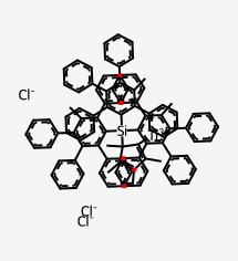 CC1=C(C)C(C)([Si](c2c(-c3ccccc3)c(C)c(-c3ccccc3)c(-c3ccccc3)c2-c2ccccc2)(c2c(-c3ccccc3)c(C)c(-c3ccccc3)c(-c3ccccc3)c2-c2ccccc2)c2c(-c3ccccc3)c(C)c(-c3ccccc3)c(-c3ccccc3)c2-c2ccccc2)[C]([Ti+3])=C1C.[Cl-].[Cl-].[Cl-]